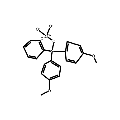 COc1ccc(S(O[Cl+3]([O-])([O-])[O-])(c2ccccc2)c2ccc(OC)cc2)cc1